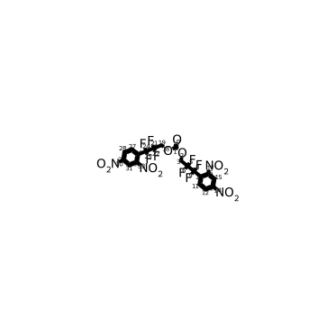 O=C(OCC(F)(F)C(F)(F)c1ccc([N+](=O)[O-])cc1[N+](=O)[O-])OCC(F)(F)C(F)(F)c1ccc([N+](=O)[O-])cc1[N+](=O)[O-]